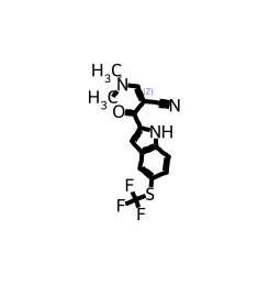 CN(C)/C=C(/C#N)C(=O)c1cc2cc(SC(F)(F)F)ccc2[nH]1